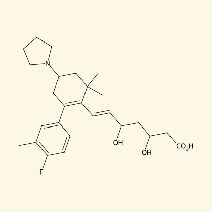 Cc1cc(C2=C(C=CC(O)CC(O)CC(=O)O)C(C)(C)CC(N3CCCC3)C2)ccc1F